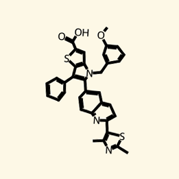 COc1cccc(Cn2c(-c3ccc4nc(-c5sc(C)nc5C)ccc4c3)c(-c3ccccc3)c3sc(C(=O)O)cc32)c1